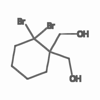 OCC1(CO)CCCCC1(Br)Br